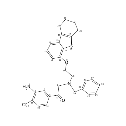 Nc1cc(C(=O)CN(CCOc2cccc3c4c(sc23)CCCC4)Cc2ccccc2)ccc1Cl